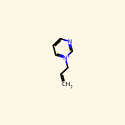 C=CC[n+]1cccnc1